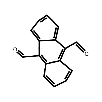 O=Cc1c2ccccc2c(C=O)c2ccccc12